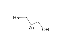 OCCCS.[Zn]